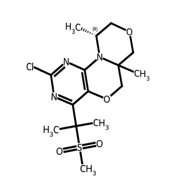 C[C@@H]1COCC2(C)COc3c(nc(Cl)nc3C(C)(C)S(C)(=O)=O)N12